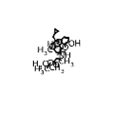 CO[C@@]12CC[C@@H](NC(C)CC(=O)OC(C)(C)C)[C@@H]3Oc4c(O)ccc5c4[C@@]31CCN(CC1CC1)[C@@H]2C5